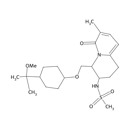 COC(C)(C)C1CCC(OCC2C(NS(C)(=O)=O)CCc3ccc(C)c(=O)n32)CC1